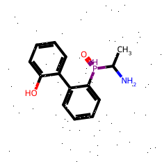 CC(N)[PH](=O)c1ccccc1-c1ccccc1O